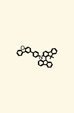 CC1(C)c2ccccc2-c2ccc3c(c21)C1(C)c2ccccc2-c2cccc(c21)N3c1ccc(-c2ccc3oc4ccccc4c3c2)cc1